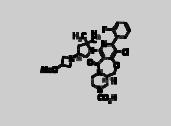 COC1CN([C@@H]2CN(c3nc(-c4ccccc4F)c(Cl)c4c3C(=O)N3CCN(C(=O)O)C[C@@H]3CO4)C(C)(C)C2)C1